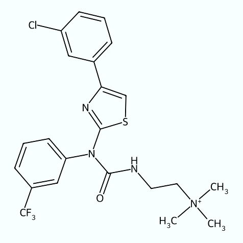 C[N+](C)(C)CCNC(=O)N(c1cccc(C(F)(F)F)c1)c1nc(-c2cccc(Cl)c2)cs1